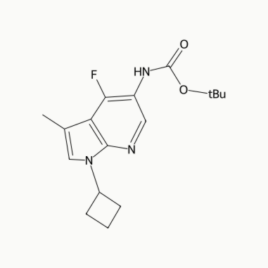 Cc1cn(C2CCC2)c2ncc(NC(=O)OC(C)(C)C)c(F)c12